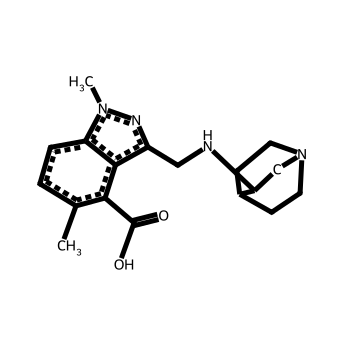 Cc1ccc2c(c(CNC3CN4CCC3CC4)nn2C)c1C(=O)O